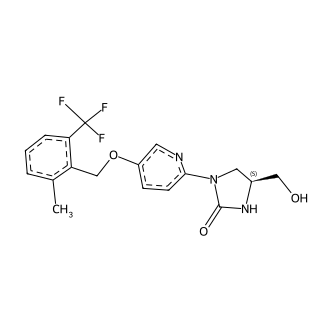 Cc1cccc(C(F)(F)F)c1COc1ccc(N2C[C@@H](CO)NC2=O)nc1